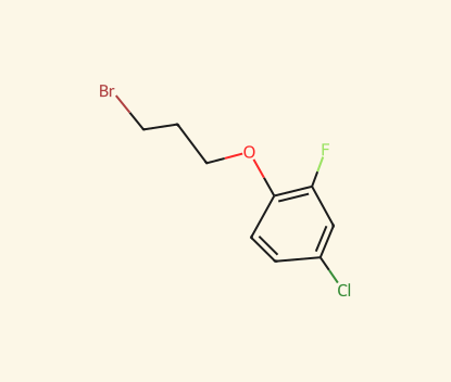 Fc1cc(Cl)ccc1OCCCBr